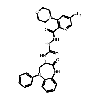 O=C(NNC(=O)c1ncc(C(F)(F)F)cc1N1CCOCC1)N[C@H]1CN(c2ccccc2)c2ccccc2NC1=O